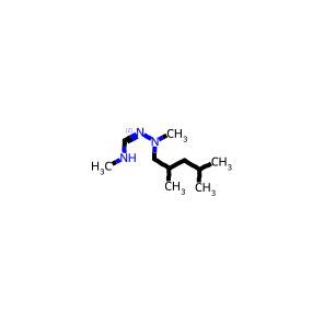 CN/C=N\N(C)CC(C)CC(C)C